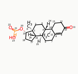 C[C@]12CC[C@H]3[C@@H](CCC4=CC(=O)CC[C@@]43C)[C@@H]1CC[C@@H]2O[PH](=O)O